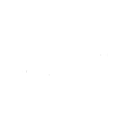 CC(C)COc1ccc(O)cc1